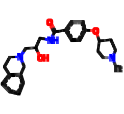 CCN1CCC(Oc2ccc(C(=O)NCC(O)CN3CCc4ccccc4C3)cc2)CC1